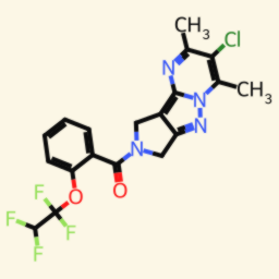 Cc1nc2c3c(nn2c(C)c1Cl)CN(C(=O)c1ccccc1OC(F)(F)C(F)F)C3